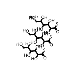 O=C([S-])C(O)C(O)C(O)C(O)CO.O=C([S-])C(O)C(O)C(O)C(O)CO.O=C([S-])C(O)C(O)C(O)C(O)CO.[Au+3]